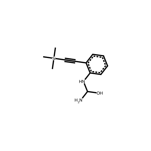 C[Si](C)(C)C#Cc1ccccc1NC(N)O